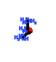 N=C(N)NCCC[C@H](C=O)NC(=O)[C@H](N)CCCNC(N)N